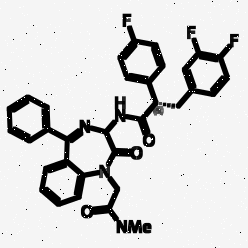 CNC(=O)CN1C(=O)C(NC(=O)[C@@H](Cc2ccc(F)c(F)c2)c2ccc(F)cc2)N=C(c2ccccc2)c2ccccc21